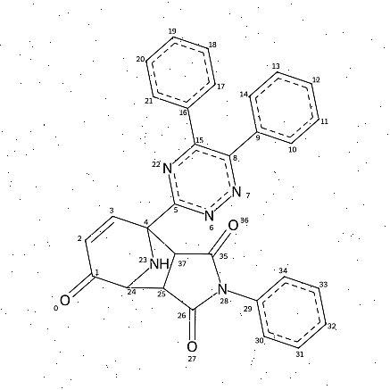 O=C1C=CC2(c3nnc(-c4ccccc4)c(-c4ccccc4)n3)NC1C1C(=O)N(c3ccccc3)C(=O)C12